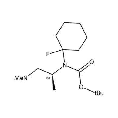 CNC[C@H](C)N(C(=O)OC(C)(C)C)C1(F)CCCCC1